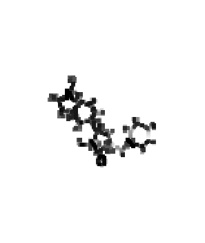 CN1C(=O)[C@@H](CN2CCCCC2)CC1c1ccc2c(ccn2C)c1